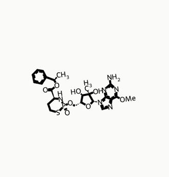 COc1nc(N)nc2c1ncn2[C@@H]1O[C@H](COP2(=O)N[C@H](C(=O)O[C@H](C)c3ccccc3)CCS2)[C@@H](O)[C@@]1(C)O